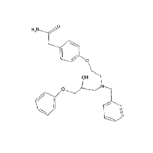 NC(=O)Cc1ccc(OCCN(Cc2ccccc2)CC(O)COc2ccccc2)cc1